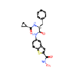 O=C(NO)c1cc2cc(NC(=O)[C@H](Cc3ccccc3)NC(=O)C3CC3)ccc2s1